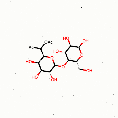 CC(=O)OC(C(C)=O)[C@H]1O[C@@H](O[C@H]2[C@H](O)[C@@H](O)[C@@H](O)O[C@@H]2CO)[C@H](O)[C@@H](O)[C@H]1O